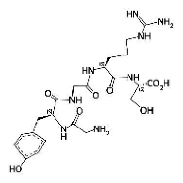 N=C(N)NCCC[C@H](NC(=O)CNC(=O)[C@H](Cc1ccc(O)cc1)NC(=O)CN)C(=O)N[C@@H](CO)C(=O)O